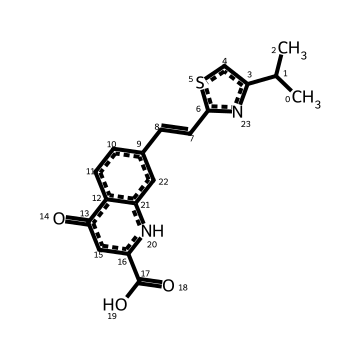 CC(C)c1csc(C=Cc2ccc3c(=O)cc(C(=O)O)[nH]c3c2)n1